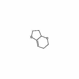 C1=C2OCCC2OCC1